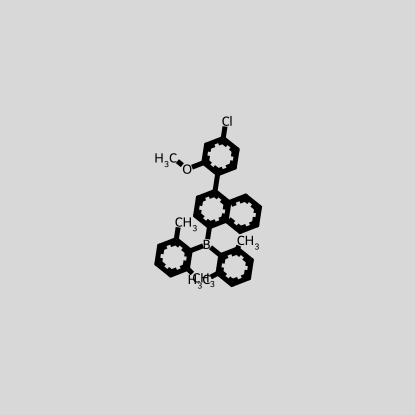 COc1cc(Cl)ccc1-c1ccc(B(c2c(C)cccc2C)c2c(C)cccc2C)c2ccccc12